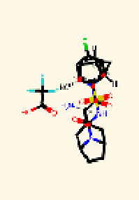 N#C[C@@H]1C[C@@H]2C[C@@H]2N1C(=O)[C@@H](N)C1CC2CCC(C1)N2C(=O)NS(=O)(=O)c1ccc(Cl)cc1.O=C(O)C(F)(F)F